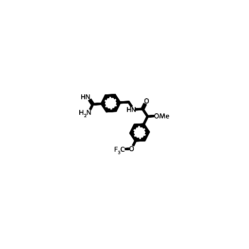 COC(C(=O)NCc1ccc(C(=N)N)cc1)c1ccc(OC(F)(F)F)cc1